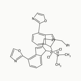 CC(C)CC1=Cc2c(-c3ncco3)cccc2[CH]1[Zr]([Cl])([Cl])([CH]1C(CC(C)C)=Cc2c(-c3ncco3)cccc21)[SiH](C)C